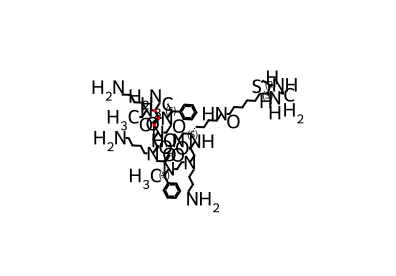 C=C1N[C@H]2CSC(CCCCC(=O)NCCCC[C@H](NC(=O)CN(CCCCN)C(=O)CN(C(=O)CN(CCCCN)C(=O)CN(CCCCN)C(=O)CN(C(=O)CN(CCCCN)C(C)=O)[C@@H](C)c3ccccc3)[C@@H](C)c3ccccc3)C(N)=O)[C@H]2N1